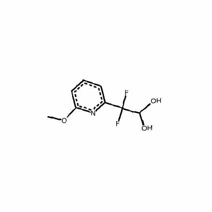 COc1cccc(C(F)(F)C(O)O)n1